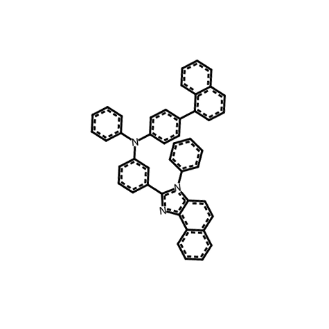 c1ccc(N(c2ccc(-c3cccc4ccccc34)cc2)c2cccc(-c3nc4c5ccccc5ccc4n3-c3ccccc3)c2)cc1